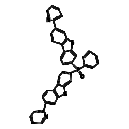 O=P(c1ccccc1)(c1ccc2c(c1)sc1cc(-c3ccccn3)ccc12)c1ccc2c(c1)sc1cc(-c3ccccn3)ccc12